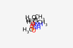 CC(C)(C)CC(C)(C)NC(=O)NS(C)(=O)=O